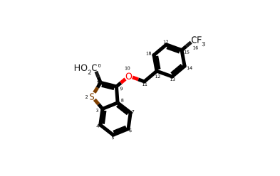 O=C(O)c1sc2ccccc2c1OCc1ccc(C(F)(F)F)cc1